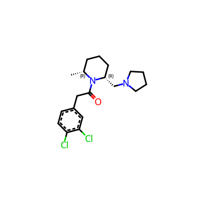 C[C@@H]1CCC[C@H](CN2CCCC2)N1C(=O)Cc1ccc(Cl)c(Cl)c1